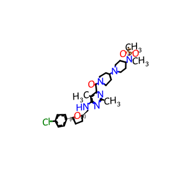 Cc1nc(NC[C@H]2CC[C@H](c3ccc(Cl)cc3)O2)c(C)c(C(=O)N2CCC(N3CCC(N(C)S(C)(=O)=O)CC3)CC2)n1